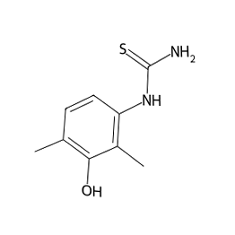 Cc1ccc(NC(N)=S)c(C)c1O